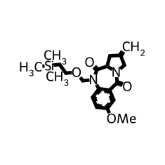 C=C1CC2C(=O)N(COCC[Si](C)(C)C)c3ccc(OC)cc3C(=O)N2C1